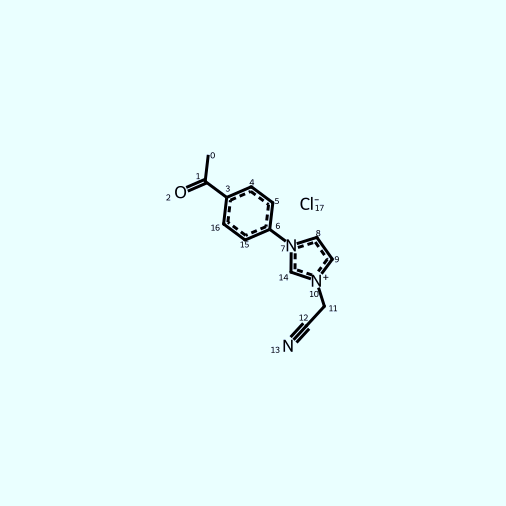 CC(=O)c1ccc(-n2cc[n+](CC#N)c2)cc1.[Cl-]